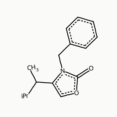 CC(C)C(C)c1coc(=O)n1Cc1ccccc1